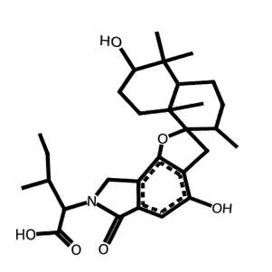 CCC(C)C(C(=O)O)N1Cc2c(cc(O)c3c2OC2(C3)C(C)CCC3C(C)(C)C(O)CCC32C)C1=O